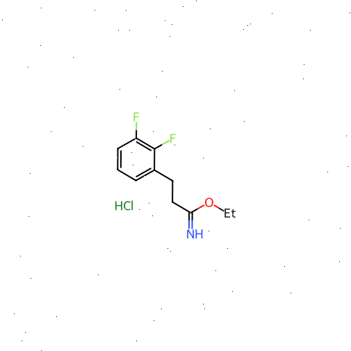 CCOC(=N)CCc1cccc(F)c1F.Cl